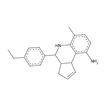 CCc1ccc(C2Nc3c(C)ccc(N)c3C3C=CCC32)cc1